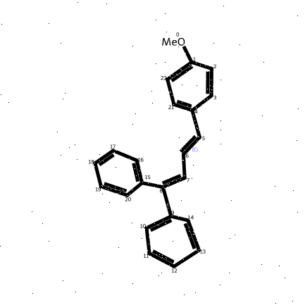 COc1ccc(/C=C/C=C(c2ccccc2)c2ccccc2)cc1